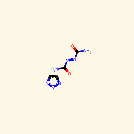 NC(=O)/N=N/C(N)=O.c1c[nH]nn1